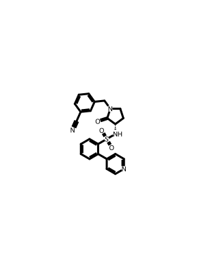 N#Cc1cccc(CN2CC[C@H](NS(=O)(=O)c3ccccc3-c3ccncc3)C2=O)c1